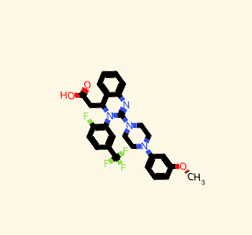 COc1cccc(N2CCN(C3=Nc4ccccc4C(CC(=O)O)N3c3cc(C(F)(F)F)ccc3F)CC2)c1